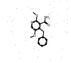 COc1cnc(OC)c(C(N)=O)c1Cc1ccccc1